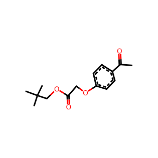 CC(=O)c1ccc(OCC(=O)OCC(C)(C)C)cc1